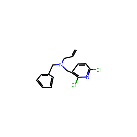 C=CCN(Cc1ccccc1)Cc1ccc(Cl)nc1Cl